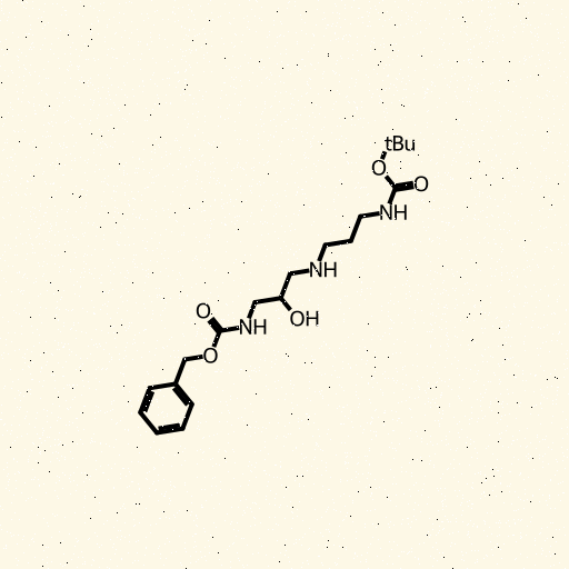 CC(C)(C)OC(=O)NCCCNCC(O)CNC(=O)OCc1ccccc1